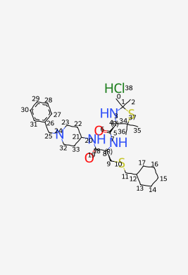 CC1(C)N[C@H](C(=O)N[C@@H](CSCC2CCCCC2)C(=O)NC2CCN(Cc3ccccc3)CC2)C(C)(C)S1.Cl